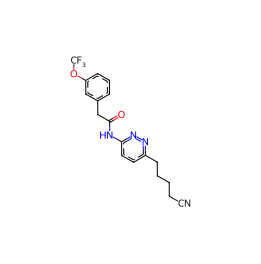 N#CCCCCc1ccc(NC(=O)Cc2cccc(OC(F)(F)F)c2)nn1